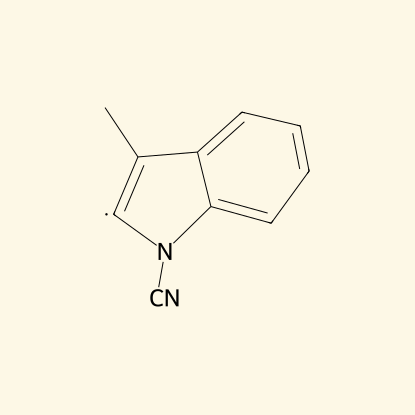 Cc1[c]n(C#N)c2ccccc12